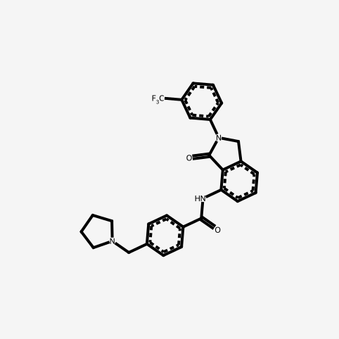 O=C(Nc1cccc2c1C(=O)N(c1cccc(C(F)(F)F)c1)C2)c1ccc(CN2CCCC2)cc1